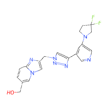 OCc1ccc2nc(Cn3cc(-c4cncc(N5CCC(F)(F)C5)c4)nn3)cn2c1